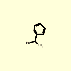 CCC(C)[C](C)c1ccccc1